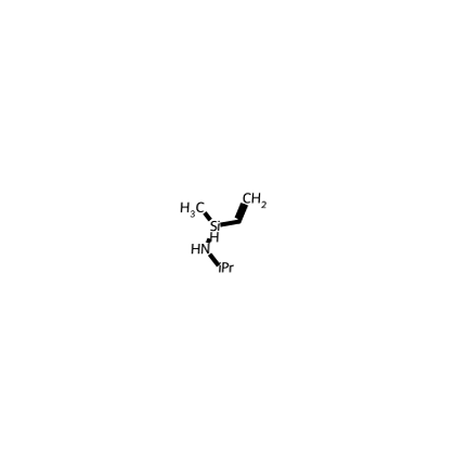 C=C[SiH](C)NC(C)C